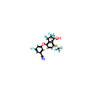 N#Cc1cc(F)cc(Oc2ccc(SC(F)(F)F)c3c2[C@@H](F)C(F)(F)[C@H]3O)c1